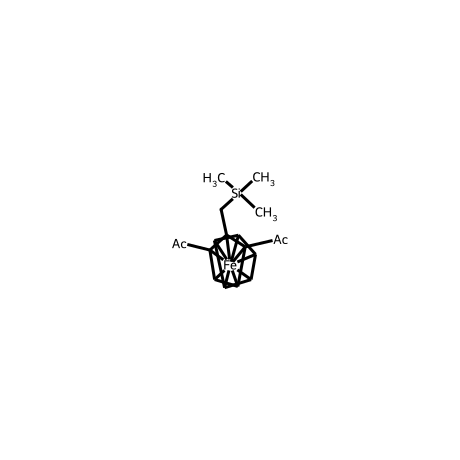 CC(=O)[C]12[CH]3[CH]4[C]5(C(C)=O)[C]1(C[Si](C)(C)C)[Fe]34251678[CH]2[CH]1[CH]6[CH]7[CH]28